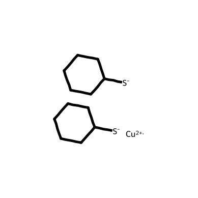 [Cu+2].[S-]C1CCCCC1.[S-]C1CCCCC1